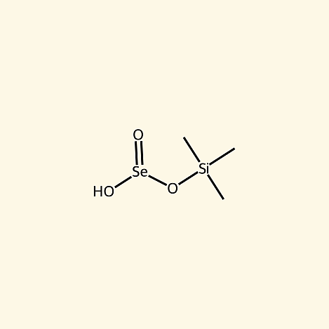 C[Si](C)(C)O[Se](=O)O